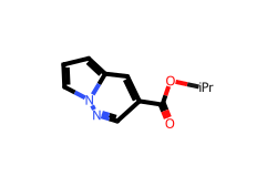 CC(C)OC(=O)c1cnn2cccc2c1